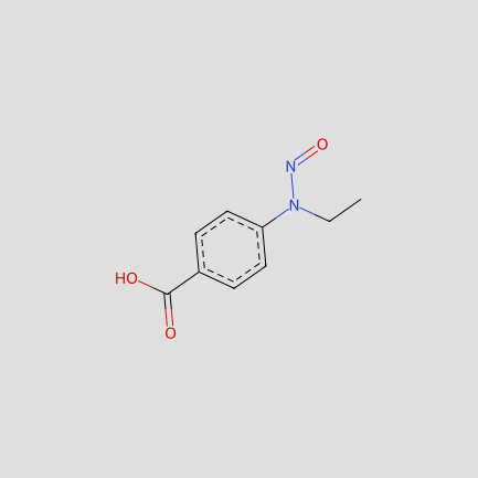 CCN(N=O)c1ccc(C(=O)O)cc1